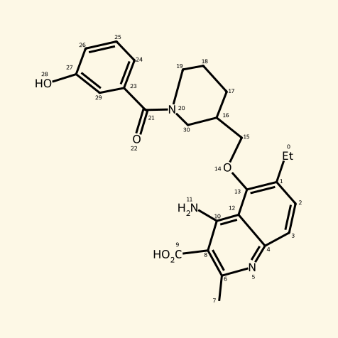 CCc1ccc2nc(C)c(C(=O)O)c(N)c2c1OCC1CCCN(C(=O)c2cccc(O)c2)C1